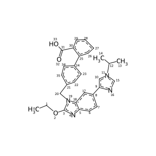 CCOc1nc2ccc(-c3cn(C(C)C)cn3)cc2n1Cc1ccc(-c2ccccc2C(=O)O)cc1